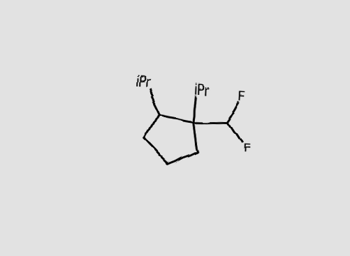 CC(C)C1CCCC1(C(C)C)C(F)F